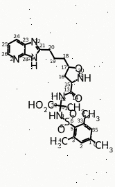 Cc1cc(C)c(S(=O)(=O)NC(C)(NC(=O)C2CC(CCCc3nc4cccnc4[nH]3)ON2)C(=O)O)c(C)c1